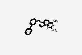 Nc1nc(N)c2ccc3c(ccn3Cc3cccc(-c4ccccc4)c3)c2n1